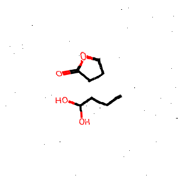 CCCC(O)O.O=C1CCCO1